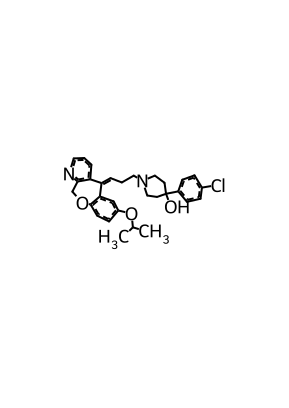 CC(C)Oc1ccc2c(c1)C(=CCCN1CCC(O)(c3ccc(Cl)cc3)CC1)c1cccnc1CO2